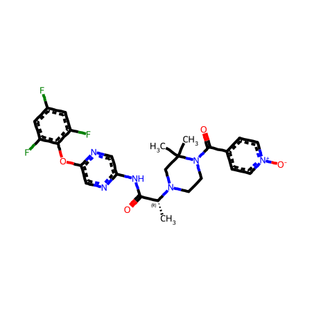 C[C@H](C(=O)Nc1cnc(Oc2c(F)cc(F)cc2F)cn1)N1CCN(C(=O)c2cc[n+]([O-])cc2)C(C)(C)C1